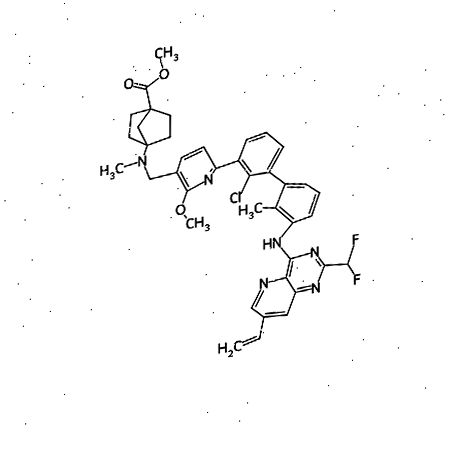 C=Cc1cnc2c(Nc3cccc(-c4cccc(-c5ccc(CN(C)C67CCC(C(=O)OC)(CC6)C7)c(OC)n5)c4Cl)c3C)nc(C(F)F)nc2c1